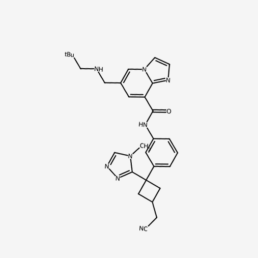 Cn1cnnc1C1(c2cccc(NC(=O)c3cc(CNCC(C)(C)C)cn4ccnc34)c2)CC(CC#N)C1